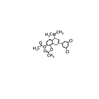 CC(=O)Oc1ccc2c(c1OC(C)=O)CC(c1cc(Cl)cc(Cl)c1)=CC2N(C)C